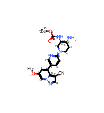 CCOc1cc(-c2ccc(N3CC[C@H](N)[C@H](NC(=O)OC(C)(C)C)C3)nc2)c2c(C#N)cnn2c1